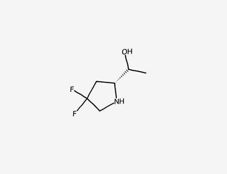 CC(O)[C@H]1CC(F)(F)CN1